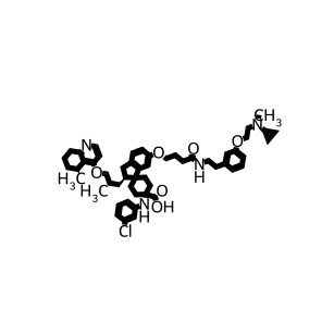 C[C@@H](COc1ccnc2c1[C@H](C)CCC2)C[C@H]1Cc2ccc(OCCCC(=O)NCCc3cccc(OCCN(C)C4CC4)c3)cc2C12CCC(Nc1cccc(Cl)c1)(C(=O)O)CC2